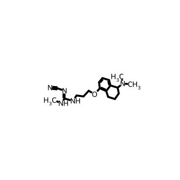 CNC(=NC#N)NCCCOc1cccc2c1CCCC2N(C)C